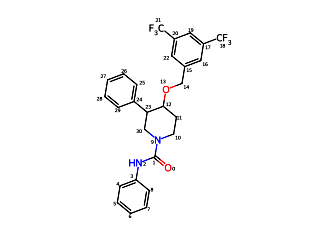 O=C(Nc1ccccc1)N1CCC(OCc2cc(C(F)(F)F)cc(C(F)(F)F)c2)C(c2ccccc2)C1